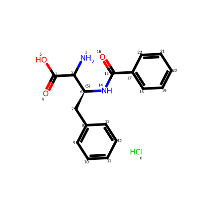 Cl.NC(C(=O)O)[C@H](Cc1ccccc1)NC(=O)c1ccccc1